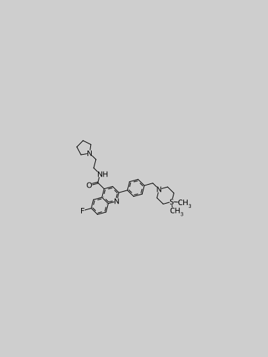 CS1(C)CCN(Cc2ccc(-c3cc(C(=O)NCCN4CCCC4)c4cc(F)ccc4n3)cc2)CC1